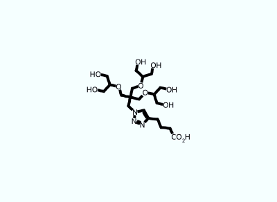 O=C(O)CCCc1cn(CC(COC(CO)CO)(COC(CO)CO)COC(CO)CO)nn1